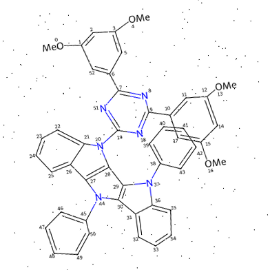 COc1cc(OC)cc(-c2nc(-c3cc(OC)cc(OC)c3)nc(-n3c4ccccc4c4c3c3c(c5ccccc5n3-c3ccccc3)n4-c3ccccc3)n2)c1